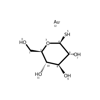 OC[C@H]1O[C@@H](S)[C@H](O)[C@@H](O)[C@@H]1O.[Au]